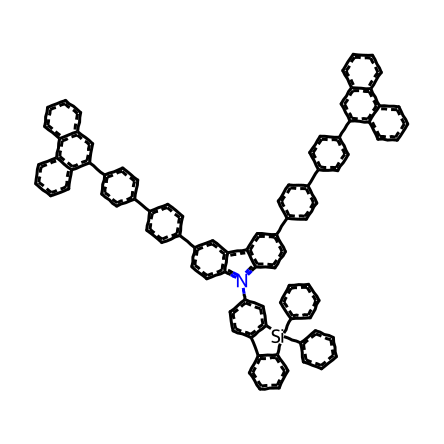 c1ccc([Si]2(c3ccccc3)c3ccccc3-c3ccc(-n4c5ccc(-c6ccc(-c7ccc(-c8cc9ccccc9c9ccccc89)cc7)cc6)cc5c5cc(-c6ccc(-c7ccc(-c8cc9ccccc9c9ccccc89)cc7)cc6)ccc54)cc32)cc1